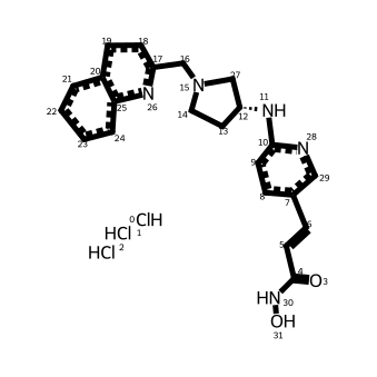 Cl.Cl.Cl.O=C(C=Cc1ccc(N[C@@H]2CCN(Cc3ccc4ccccc4n3)C2)nc1)NO